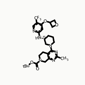 Cc1nc2c(c(N3CCC[C@@H](Nc4cc(OC5COC5)c(C(F)(F)F)cn4)C3)n1)CCN(C(=O)OC(C)(C)C)C2